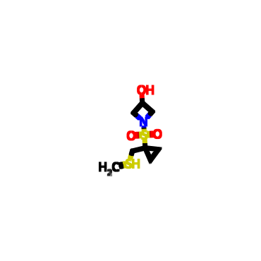 C=[SH]CC1(S(=O)(=O)N2CC(O)C2)CC1